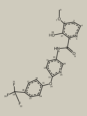 COc1ccnc(C(=O)Nc2ccc(Oc3ccc(C(F)(F)F)cc3)nc2)c1O